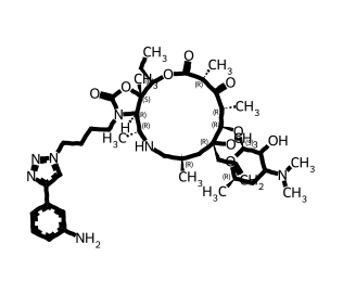 C=CC[C@@]1(OC)C[C@@H](C)CN[C@H](C)[C@H]2N(CCCCn3cc(-c4cccc(N)c4)nn3)C(=O)O[C@]2(C)[C@@H](CC)OC(=O)[C@H](C)C(=O)[C@H](C)[C@H]1O[C@@H]1O[C@H](C)CC(N(C)C)C1O